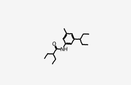 CCC(CC)C(=O)Nc1cc(C)cc(C(CC)CC)c1